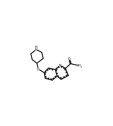 NC(=O)c1ccc2c[c]c(OC3CCNCC3)cc2n1